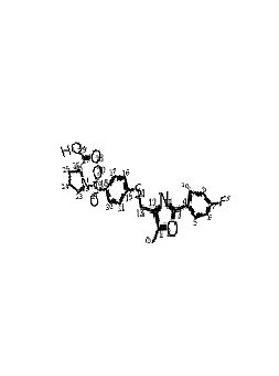 Cc1oc(-c2ccc(F)cc2)nc1CSc1ccc(S(=O)(=O)N2CCC[C@@H]2C(=O)O)cc1